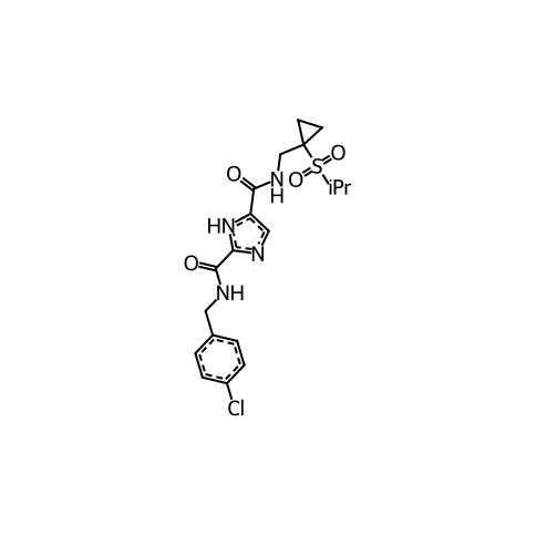 CC(C)S(=O)(=O)C1(CNC(=O)c2cnc(C(=O)NCc3ccc(Cl)cc3)[nH]2)CC1